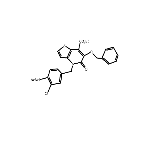 CCOC(=O)c1c(OCc2ccccc2)c(=O)n(Cc2ccc(NC(C)=O)c(Cl)c2)c2ccsc12